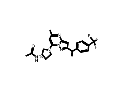 CC(=O)N[C@H]1CCN(c2cc(C)nc3cc(C(C)c4ccc(C(F)(F)F)cc4)nn23)C1